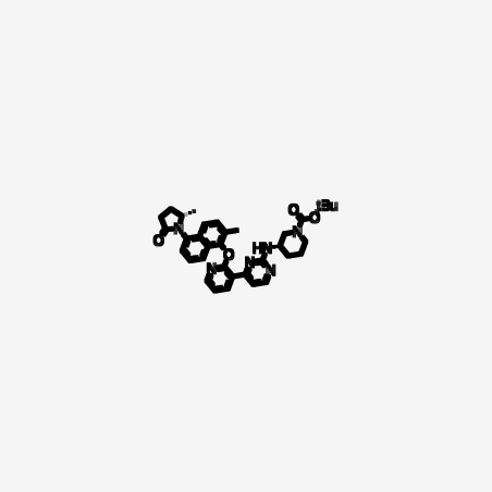 Cc1ccc2c(N3C(=O)CC[C@@H]3C)cccc2c1Oc1ncccc1-c1ccnc(N[C@H]2CCCN(C(=O)OC(C)(C)C)C2)n1